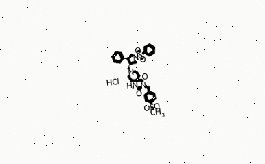 CS(=O)(=O)c1ccc(CN2C(=O)NC3(CCN(C[C@H]4CN(S(=O)(=O)c5ccccc5)C[C@@H]4c4ccccc4)CC3)C2=O)cc1.Cl